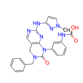 Cn1ccc(Nc2ncc3c(n2)N(c2cccc(NC(=O)O)c2)C(=O)N(Cc2ccccc2)C3)n1